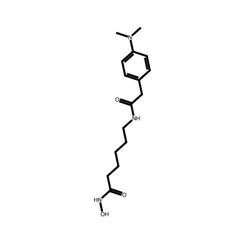 CN(C)c1ccc(CC(=O)NCCCCCC(=O)NO)cc1